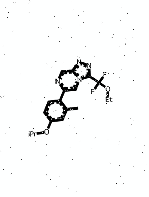 CCOC(F)(F)c1nnc2cnc(-c3ccc(OC(C)C)cc3C)cn12